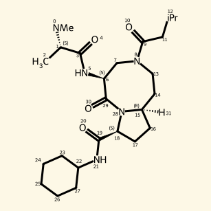 CN[C@@H](C)C(=O)N[C@H]1CN(C(=O)CC(C)C)CC[C@H]2CC[C@@H](C(=O)NC3CCCCC3)N2C1=O